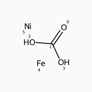 O=C(O)O.[Fe].[Ni]